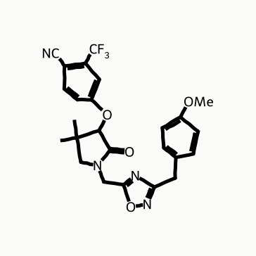 COc1ccc(Cc2noc(CN3CC(C)(C)C(Oc4ccc(C#N)c(C(F)(F)F)c4)C3=O)n2)cc1